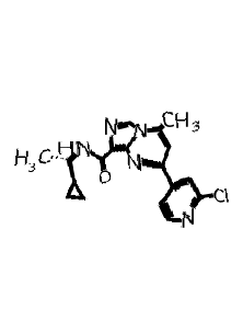 Cc1cc(-c2ccnc(Cl)c2)nc2c(C(=O)N[C@@H](C)C3CC3)ncn12